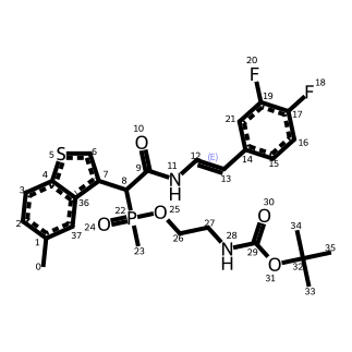 Cc1ccc2scc(C(C(=O)N/C=C/c3ccc(F)c(F)c3)P(C)(=O)OCCNC(=O)OC(C)(C)C)c2c1